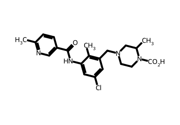 Cc1ccc(C(=O)Nc2cc(Cl)cc(CN3CCN(C(=O)O)C(C)C3)c2C)cn1